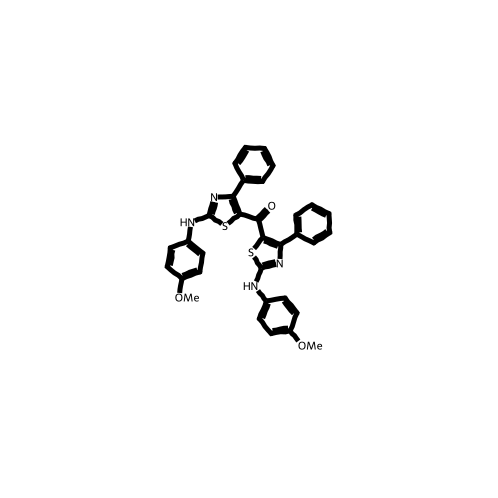 COc1ccc(Nc2nc(-c3ccccc3)c(C(=O)c3sc(Nc4ccc(OC)cc4)nc3-c3ccccc3)s2)cc1